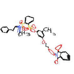 Cc1cc(OCCCON2C(=O)c3ccccc3C2=O)cc(OS(=O)(=O)c2ccccc2S(=O)(=O)N(C)CCc2ccccc2)c1